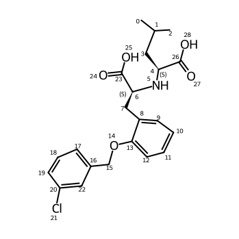 CC(C)C[C@H](N[C@@H](Cc1ccccc1OCc1cccc(Cl)c1)C(=O)O)C(=O)O